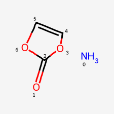 N.O=c1occo1